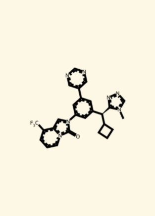 Cn1cnnc1[C@H](c1cc(-c2cncnc2)cc(-n2cc3c(C(F)(F)F)cccn3c2=O)c1)C1CCC1